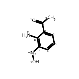 CC(=O)c1cccc(NO)c1N